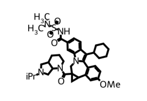 COc1ccc2c(c1)C1CC1(C(=O)N1CCCC3CN(C(C)C)CC31)Cn1c-2c(C2CCCCC2)c2ccc(C(=O)NS(=O)(=O)N(C)C)cc21